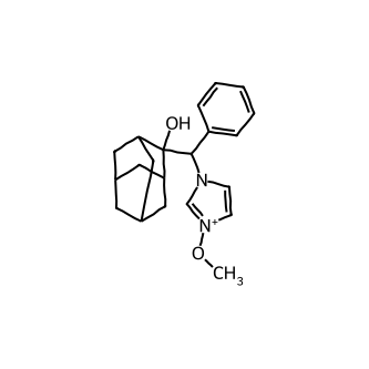 CO[n+]1ccn(C(c2ccccc2)C2(O)C3CC4CC(C3)CC2C4)c1